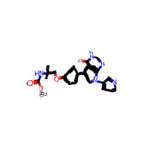 CC(C)(COc1ccc(-c2cn(-c3cccnc3)c3nc[nH]c(=O)c23)cc1)NC(=O)OC(C)(C)C